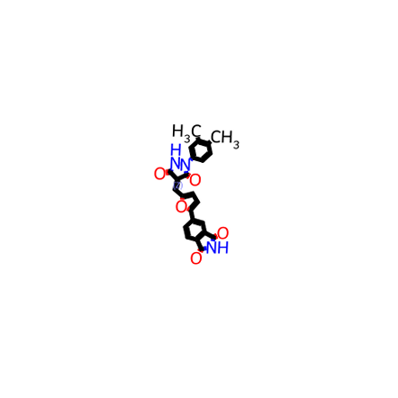 Cc1ccc(N2NC(=O)/C(=C/c3ccc(-c4ccc5c(c4)C(=O)NC5=O)o3)C2=O)cc1C